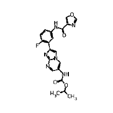 CC(C)OC(=O)Nc1cnc2nc(-c3cc(NC(=O)c4cocn4)ccc3F)cn2c1